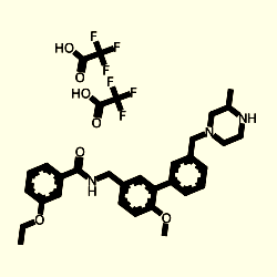 CCOc1cccc(C(=O)NCc2ccc(OC)c(-c3cccc(CN4CCNC(C)C4)c3)c2)c1.O=C(O)C(F)(F)F.O=C(O)C(F)(F)F